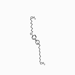 C=CCCCCCCCOc1ccc(N2CCN(CCCCCCCCCCC)CC2)cc1